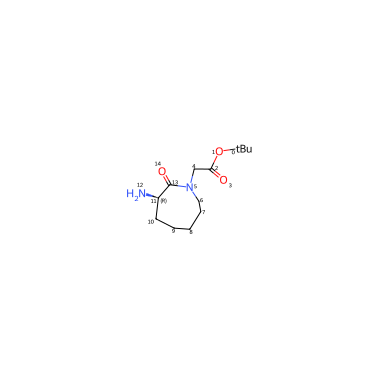 CC(C)(C)OC(=O)CN1CCCCC[C@@H](N)C1=O